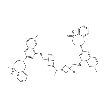 Cc1ccc2nc(N3CCS(=O)(=O)c4ccccc4C3)nc(NCC3(N)CN(C(C)N4CC(N)(CNc5nc(N6CCS(=O)(=O)c7ccccc7C6)nc6ccc(C)cc56)C4)C3)c2c1